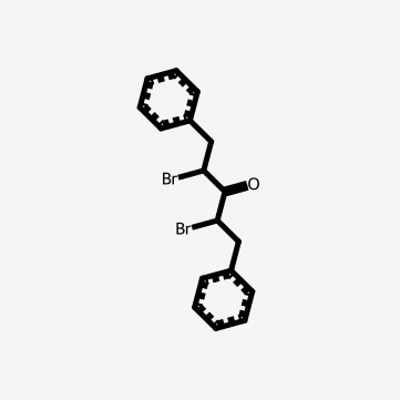 O=C(C(Br)Cc1ccccc1)C(Br)Cc1ccccc1